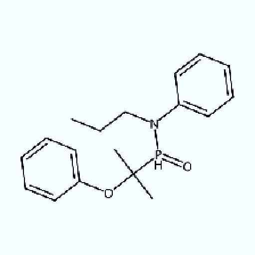 CCCN(c1ccccc1)[PH](=O)C(C)(C)Oc1ccccc1